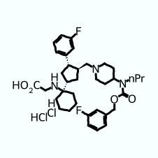 CCCN(C(=O)OCc1cccc(F)c1)C1CCN(C[C@H]2C[C@H](C3(NCC(=O)O)CCCCC3)C[C@@H]2c2cccc(F)c2)CC1.Cl.Cl